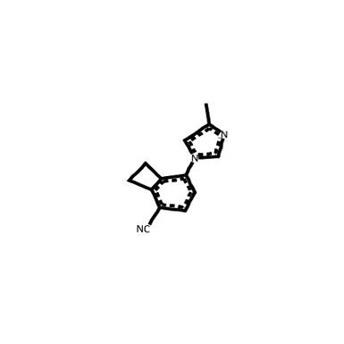 Cc1cn(-c2ccc(C#N)c3c2CC3)cn1